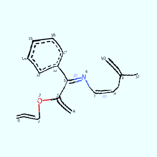 C=COC(=C)/C(=N\C=C/C(=C)C)c1ccccc1